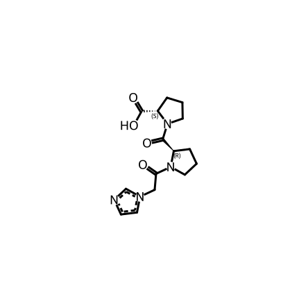 O=C(O)[C@@H]1CCCN1C(=O)[C@H]1CCCN1C(=O)Cn1ccnc1